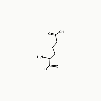 NC(CCCC(=O)O)C([O])=O